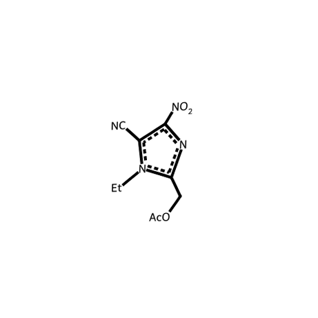 CCn1c(COC(C)=O)nc([N+](=O)[O-])c1C#N